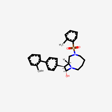 COc1ccccc1-c1ccc([C@@H]2[C@@H](O)N3CCCCN(S(=O)(=O)c4ccccc4C)C[C@@H]23)cc1